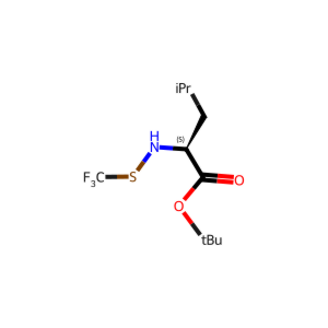 CC(C)C[C@H](NSC(F)(F)F)C(=O)OC(C)(C)C